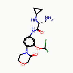 NC[C@@H](NC1CC1)C(=O)Nc1ccc(N2CCOCC2=O)c(OC(F)F)c1